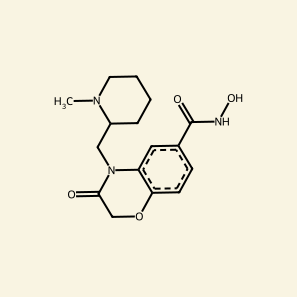 CN1CCCCC1CN1C(=O)COc2ccc(C(=O)NO)cc21